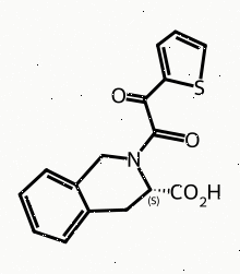 O=C(C(=O)N1Cc2ccccc2C[C@H]1C(=O)O)c1cccs1